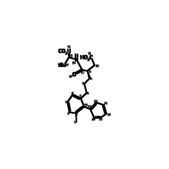 Cc1cccc(CCC[C@H](CC(=O)O)C(=O)N[C@H](C(=O)O)C(C)(C)C)c1-c1ccccc1